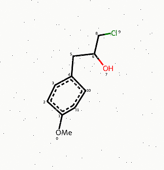 COc1ccc(CC(O)CCl)cc1